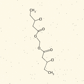 CCC(Cl)CC(=O)OCOC(=O)CC(Cl)CC